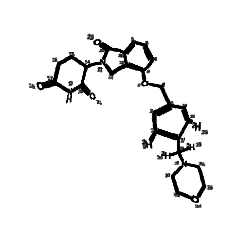 [2H]c1cc(COc2cccc3c2CN(C2CCC(=O)NC2=O)C3=O)cc([2H])c1C([2H])([2H])N1CCOCC1